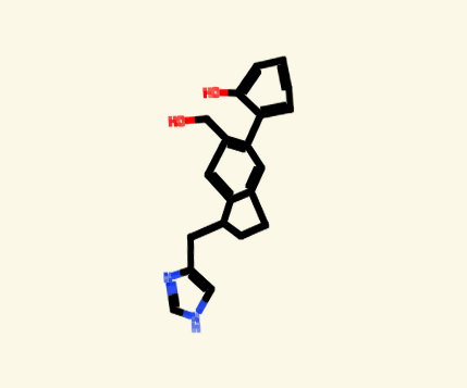 OCc1cc2c(cc1-c1ccccc1O)CCC2Cc1c[nH]cn1